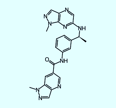 C[C@H](Nc1cnc2cnn(C)c2n1)c1cccc(NC(=O)c2cnc3cnn(C)c3c2)c1